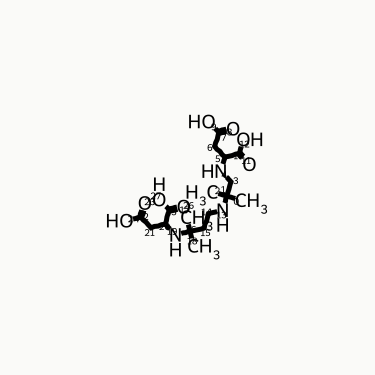 CC(C)(CNC(CC(=O)O)C(=O)O)NCCC(C)(C)NC(CC(=O)O)C(=O)O